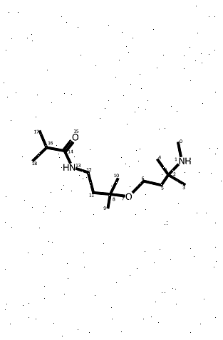 CNC(C)(C)CCOC(C)(C)CCNC(=O)C(C)C